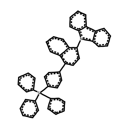 c1ccc([Si](c2ccccc2)(c2ccccc2)c2ccc(-c3ccc(-n4c5ccccc5c5ccccc54)c4ccccc34)cc2)cc1